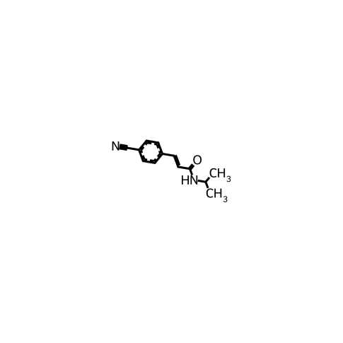 CC(C)NC(=O)/C=C/c1ccc(C#N)cc1